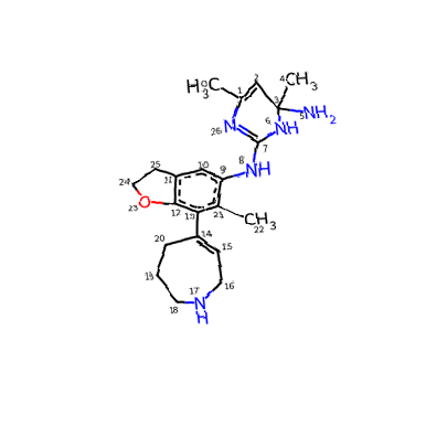 CC1=CC(C)(N)NC(Nc2cc3c(c(C4=CCNCCC4)c2C)OCC3)=N1